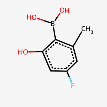 Cc1cc(F)cc(O)c1B(O)O